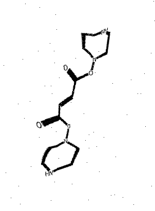 O=C(/C=C/C(=O)ON1CCNCC1)ON1CCNCC1